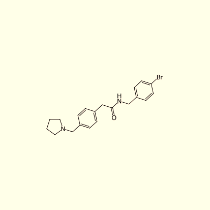 O=C(Cc1ccc(CN2CCCC2)cc1)NCc1ccc(Br)cc1